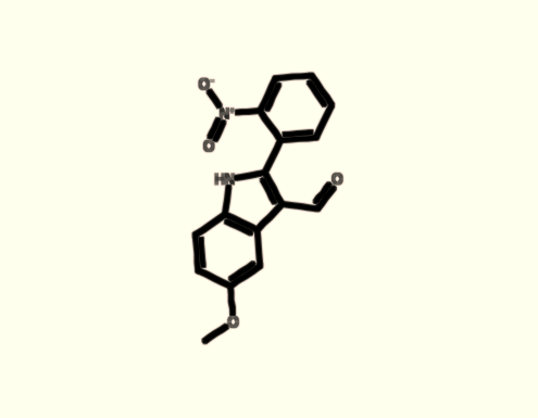 COc1ccc2[nH]c(-c3ccccc3[N+](=O)[O-])c(C=O)c2c1